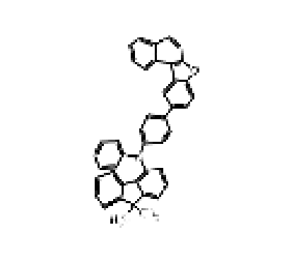 CC1(C)c2ccccc2-c2c(N(c3ccccc3)c3ccc(-c4ccc5oc6ccc7ccccc7c6c5c4)cc3)cccc21